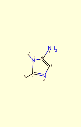 Cc1n[c]c(N)n1C